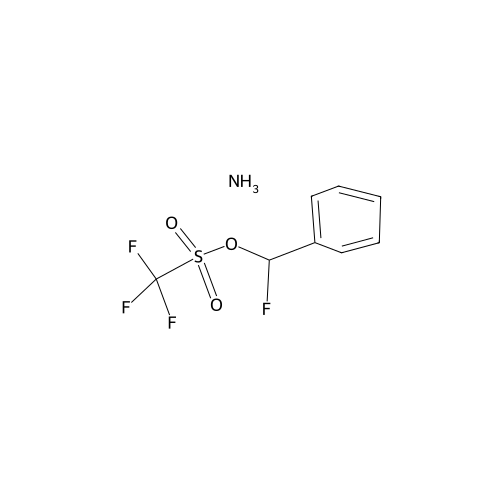 N.O=S(=O)(OC(F)c1ccccc1)C(F)(F)F